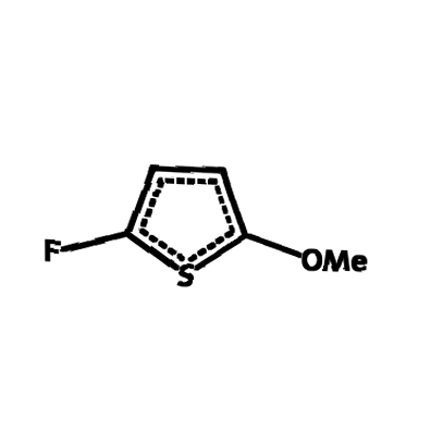 COc1ccc(F)s1